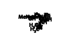 CNCC(O)COc1cccc(-c2cc(NCc3cnn(C)c3C)c(C=N)c(NC(C)C)n2)c1